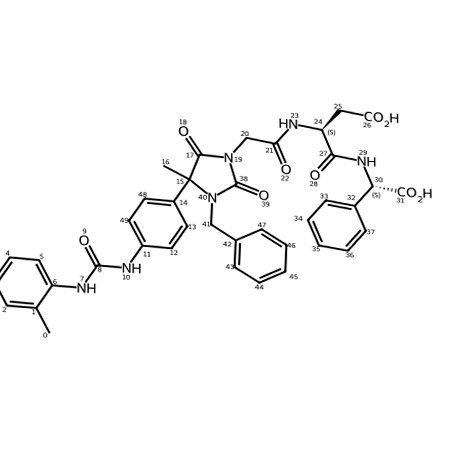 Cc1ccccc1NC(=O)Nc1ccc(C2(C)C(=O)N(CC(=O)N[C@@H](CC(=O)O)C(=O)N[C@H](C(=O)O)c3ccccc3)C(=O)N2Cc2ccccc2)cc1